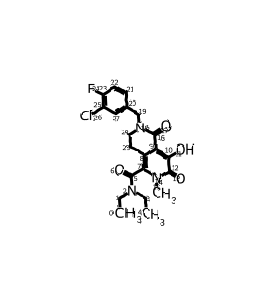 CCN(CC)C(=O)c1c2c(c(O)c(=O)n1C)C(=O)N(Cc1ccc(F)c(Cl)c1)CC2